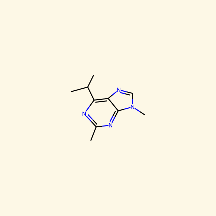 Cc1nc(C(C)C)c2ncn(C)c2n1